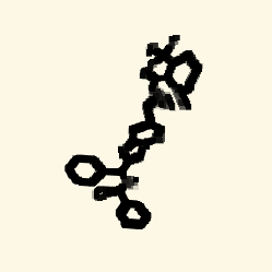 O=C(N[C@H](c1cn2ncc(CNC(=O)[C@H]3NCCC[C@@H]3C(F)(F)F)cc2n1)C1CCCCC1)c1ccccc1